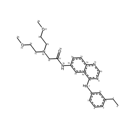 CCc1cccc(Nc2ncnc3ccc(NC(=O)CN(CCOC)CCOC)cc23)c1